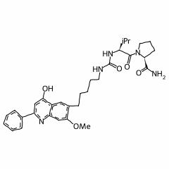 COc1cc2nc(-c3ccccc3)cc(O)c2cc1CCCCCNC(=O)N[C@H](C(=O)N1CCC[C@H]1C(N)=O)C(C)C